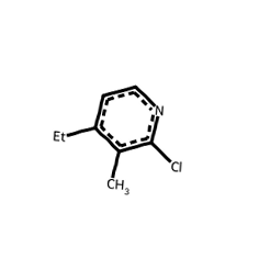 CCc1ccnc(Cl)c1C